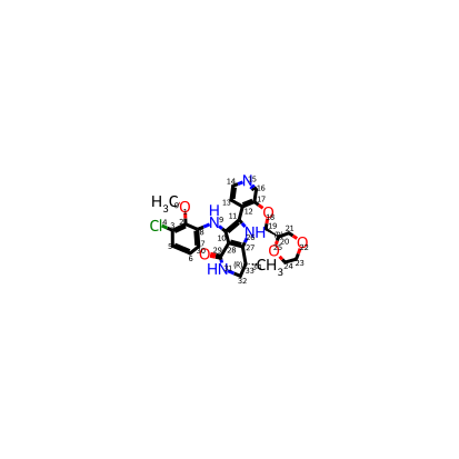 COc1c(Cl)cccc1Nc1c(-c2ccncc2OC[C@H]2COCCO2)[nH]c2c1C(=O)NC[C@H]2C